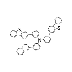 c1cc(-c2ccc3ccccc3c2)cc(N(c2cccc(-c3ccc4c(c3)sc3ccccc34)c2)c2cccc(-c3ccc4c(c3)sc3ccccc34)c2)c1